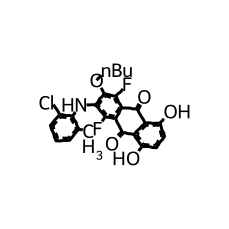 CCCCOc1c(F)c2c(c(F)c1Nc1c(C)cccc1Cl)C(=O)c1c(O)ccc(O)c1C2=O